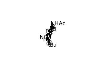 CC(=O)NC[C@H]1CN(c2cc(F)c(-c3ccc([C@@]4(C#N)[C@@H]5CN(C(=O)OC(C)(C)C)C[C@@H]54)nc3)c(F)c2)C(=O)O1